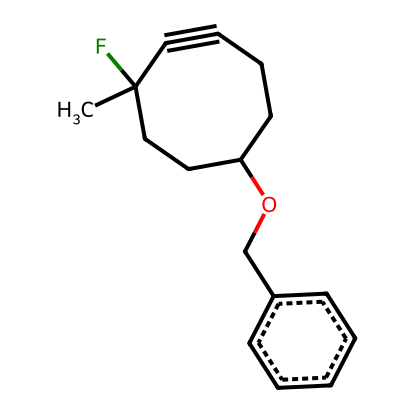 CC1(F)C#CCCC(OCc2ccccc2)CC1